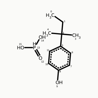 CCC(C)(C)c1ccc(O)cc1.O=[PH](O)O